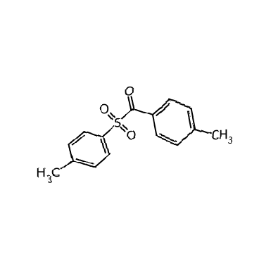 Cc1ccc(C(=O)S(=O)(=O)c2ccc(C)cc2)cc1